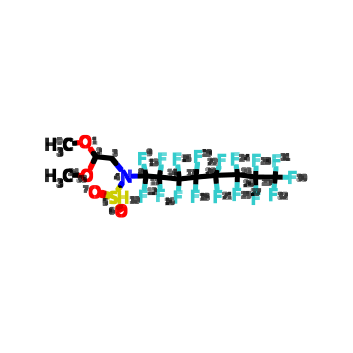 COC(CN([SH](=O)=O)C(F)(F)C(F)(F)C(F)(F)C(F)(F)C(F)(F)C(F)(F)C(F)(F)C(F)(F)F)OC